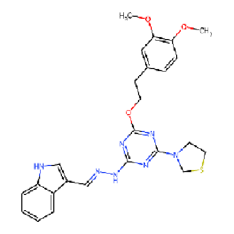 COc1ccc(CCOc2nc(NN=Cc3c[nH]c4ccccc34)nc(N3CCSC3)n2)cc1OC